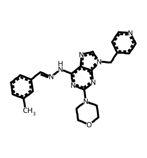 Cc1cccc(/C=N/Nc2nc(N3CCOCC3)nc3c2ncn3Cc2ccncc2)c1